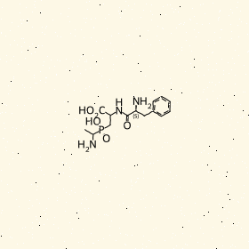 CC(N)P(=O)(O)CC(NC(=O)[C@@H](N)Cc1ccccc1)C(=O)O